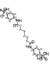 O=C(CCCCCCC(=O)Nc1ccc(P(=O)(O)O)cc1)Nc1ccc(P(=O)(O)O)cc1